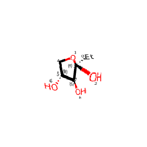 CC[C@@]1(O)OC[C@@H](O)[C@@H]1O